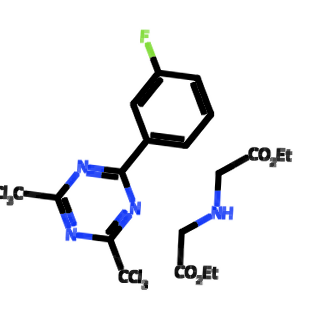 CCOC(=O)CNCC(=O)OCC.Fc1cccc(-c2nc(C(Cl)(Cl)Cl)nc(C(Cl)(Cl)Cl)n2)c1